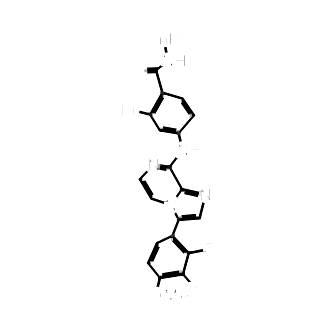 CCCNC(=O)c1ccc(Nc2nccn3c(-c4ccc(OC)c(F)c4F)cnc23)cc1CC